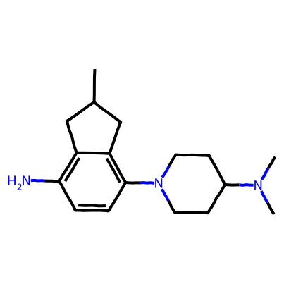 CC1Cc2c(N)ccc(N3CCC(N(C)C)CC3)c2C1